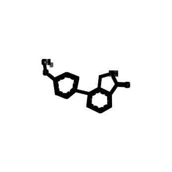 COc1ccc(-c2cccc3c2CNC3=O)cc1